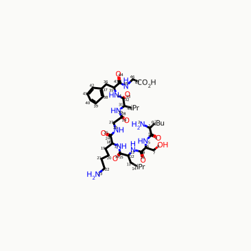 CCC(C)C(N)C(=O)NC(CO)C(=O)NC(CC(C)C)C(=O)NC(CCCCN)C(=O)NCC(=O)NC(C(=O)NC(Cc1ccccc1)C(=O)NCC(=O)O)C(C)C